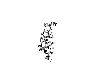 CC(C)C(O)CC1CCC2[C@@H]3CC[C@@H]4C[C@@H](C(F)(F)F)CCC4(C)C3CCC12C